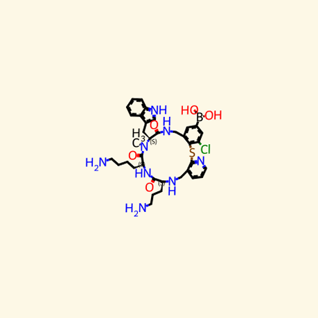 CN1C(=O)[C@H](CCCCN)NC(=O)[C@H](CCCN)NCc2cccnc2Sc2c(Cl)cc(B(O)O)cc2CNC(=O)[C@@H]1Cc1c[nH]c2ccccc12